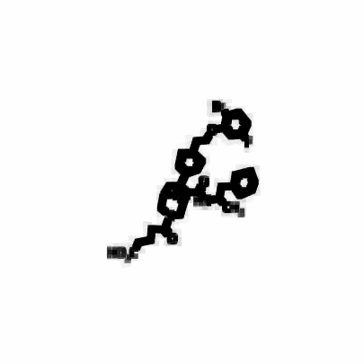 CC(Cc1ccccc1)NC(=O)C1=C(c2ccc(CCOc3cc(F)ccc3Br)cc2)CC2CN(C(=O)CCCC(=O)O)CC1N2